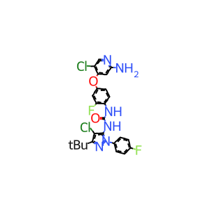 CC(C)(C)c1nn(-c2ccc(F)cc2)c(NC(=O)Nc2ccc(Oc3cc(N)ncc3Cl)cc2F)c1Cl